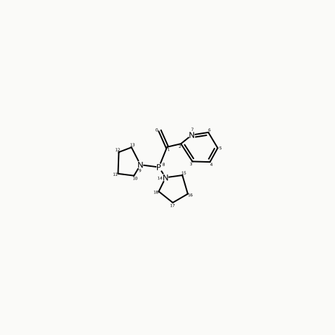 C=C(c1ccccn1)P(N1CCCC1)N1CCCC1